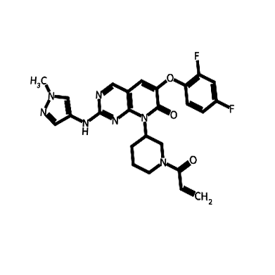 C=CC(=O)N1CCCC(n2c(=O)c(Oc3ccc(F)cc3F)cc3cnc(Nc4cnn(C)c4)nc32)C1